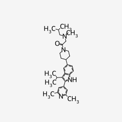 Cc1cc(-c2[nH]c3ccc(C4CCN(C(=O)CN(C)CC(C)C)CC4)cc3c2C(C)C)cc(C)n1